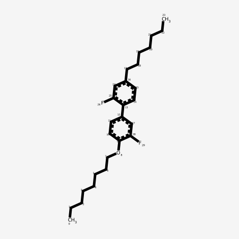 CCCCCCCCOc1ccc(-c2ccc(CCCCCCC)cc2F)cc1F